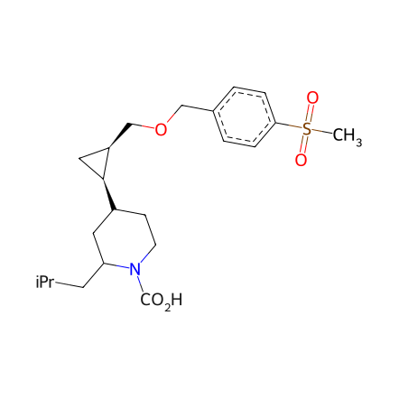 CC(C)CC1CC([C@H]2C[C@H]2COCc2ccc(S(C)(=O)=O)cc2)CCN1C(=O)O